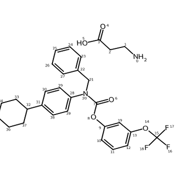 NCCC(=O)O.O=C(Oc1cccc(OC(F)(F)F)c1)N(Cc1ccccc1)c1ccc(C2CCCCC2)cc1